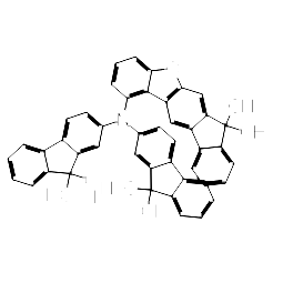 CC1(C)c2ccccc2-c2ccc(N(c3ccc4c(c3)C(C)(C)c3ccccc3-4)c3cccc4oc5cc6c(cc5c34)-c3ccccc3C6(C)C)cc21